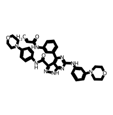 C=CC(=O)Nc1cccc(-c2nc(Nc3cccc(N4CCOCC4)c3)nc3[nH]nc(C(=O)Nc4ccc(N5CCOCC5)cc4)c23)c1